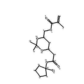 C=C(C)C(=O)OCC1CC(CC(=O)OC2(CC)CCCC2)OC(C)(C)O1